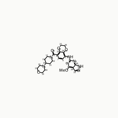 COc1nc(Nc2ccc(C(=O)N3CCC(N4CCOCC4)CC3)c3c2OCCO3)nc2[nH]ncc12